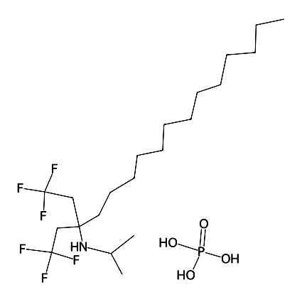 CCCCCCCCCCCCCC(CC(F)(F)F)(CC(F)(F)F)NC(C)C.O=P(O)(O)O